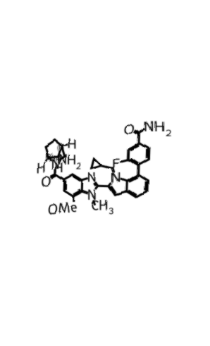 COc1cc(C(=O)N2C[C@H]3CC[C@@H]2[C@@H]3N)cc2nc(-c3cc4cccc(-c5ccc(C(N)=O)cc5F)c4n3CC3CC3)n(C)c12